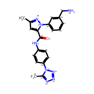 Cc1cc(C(=O)Nc2ccc(-n3nnnc3C(F)(F)F)cc2)n(-c2cccc(CN)c2)n1